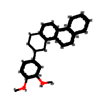 COc1ccc(C2CCc3ccc4c(ccc5ccccc54)c3C2)cc1OC